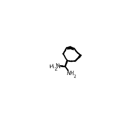 NC(N)C1CC=CCC1